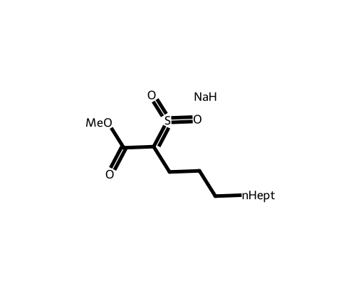 CCCCCCCCCCC(C(=O)OC)=S(=O)=O.[NaH]